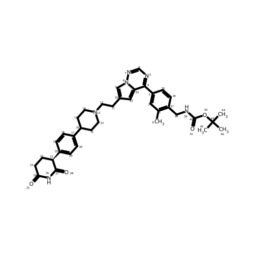 Cc1cc(-c2ncnn3cc(CCN4CCC(c5ccc([C@@H]6CCC(=O)NC6=O)cc5)CC4)cc23)ccc1CNC(=O)OC(C)(C)C